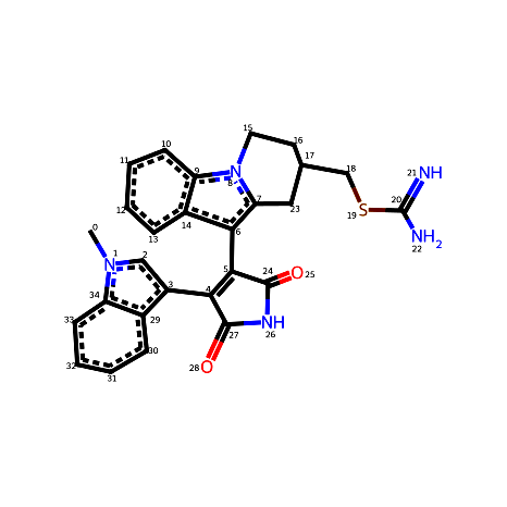 Cn1cc(C2=C(c3c4n(c5ccccc35)CCC(CSC(=N)N)C4)C(=O)NC2=O)c2ccccc21